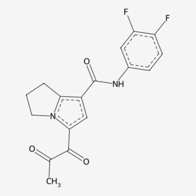 CC(=O)C(=O)c1cc(C(=O)Nc2ccc(F)c(F)c2)c2n1CCC2